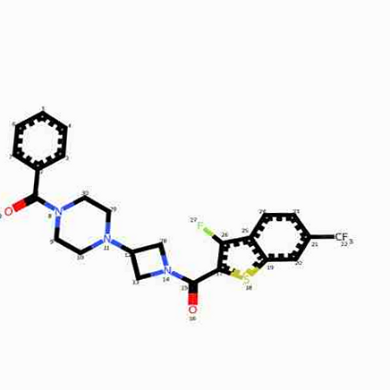 O=C(c1ccccc1)N1CCN(C2CN(C(=O)c3sc4cc(C(F)(F)F)ccc4c3F)C2)CC1